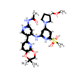 COC[C@H]1CCN(c2cc(Nc3cc(NC(C)=O)ncc3-c3ccc4c(n3)OCC(C)(C)O4)nc(S(C)(=O)=O)c2)C1